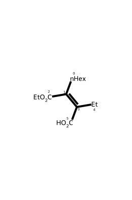 CCCCCC/C(C(=O)OCC)=C(\CC)C(=O)O